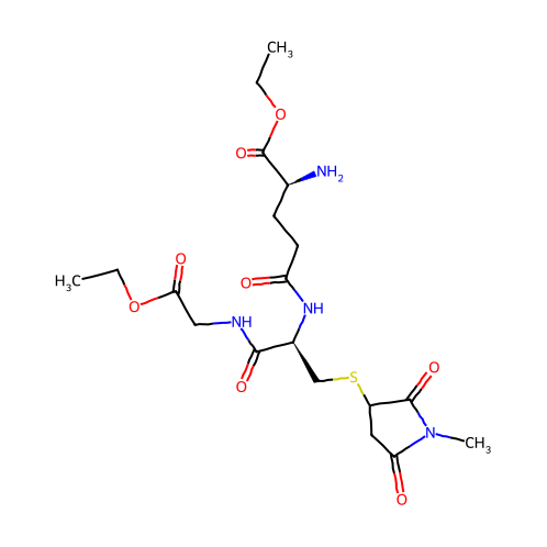 CCOC(=O)CNC(=O)[C@H](CSC1CC(=O)N(C)C1=O)NC(=O)CC[C@H](N)C(=O)OCC